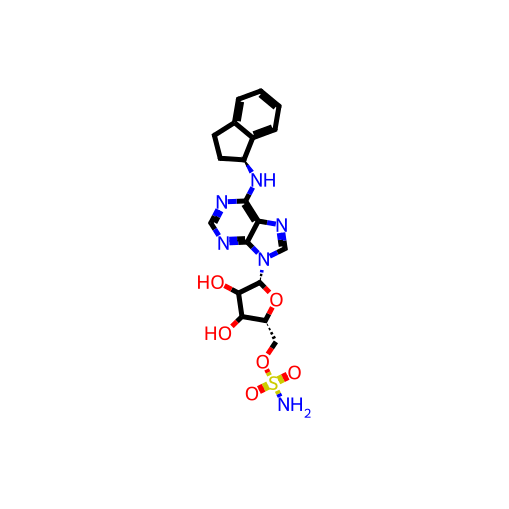 NS(=O)(=O)OC[C@H]1O[C@@H](n2cnc3c(N[C@H]4CCc5ccccc54)ncnc32)C(O)C1O